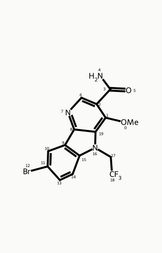 COc1c(C(N)=O)cnc2c3cc(Br)ccc3n(CC(F)(F)F)c12